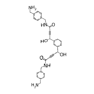 NCc1ccc(CNC(=O)C#CC(O)c2cccc(C(O)C#CC(=O)NCc3ccc(CN)cc3)c2)cc1